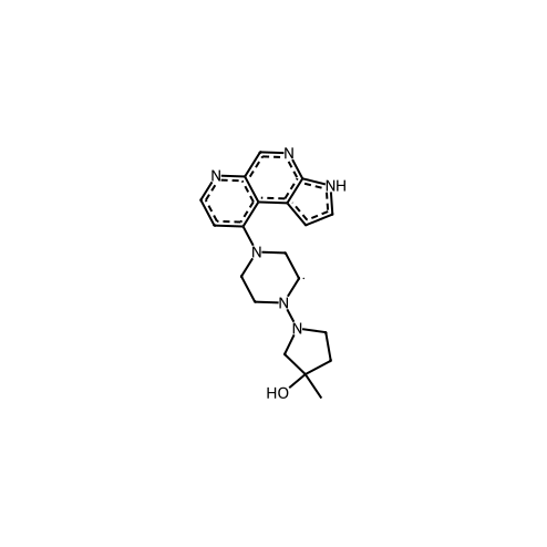 CC1(O)CCN(N2[CH]CN(c3ccnc4cnc5[nH]ccc5c34)CC2)C1